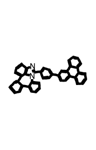 c1ccc2c(c1)-c1ccccc1-n1c(-c3ccc(-c4ccc5c6ccccc6c6ccccc6c5c4)cc3)nc3cccc-2c31